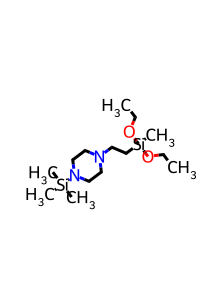 CCO[Si](C)(CCN1CCN([Si](C)(C)C)CC1)OCC